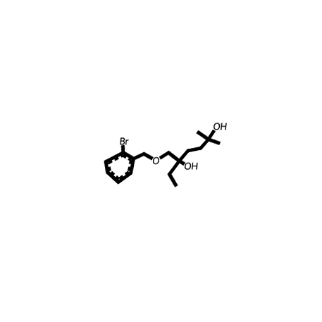 CCC(O)(CCC(C)(C)O)COCc1ccccc1Br